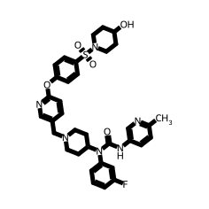 Cc1ccc(NC(=O)N(c2cccc(F)c2)C2CCN(Cc3ccc(Oc4ccc(S(=O)(=O)N5CCC(O)CC5)cc4)nc3)CC2)cn1